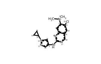 CN(C)c1cc2nc(Nc3cnn(C4CC4)c3)ncc2cc1Cl